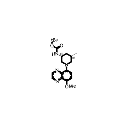 COc1ccc(N2C[C@@H](C)C[C@@H](NC(=O)OC(C)(C)C)C2)c2nccnc12